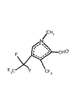 Cn1cc(C(F)(F)C(F)(F)F)c(C(F)(F)F)c1C=O